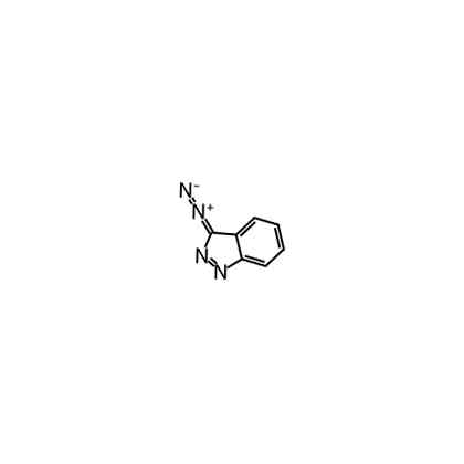 [N-]=[N+]=C1N=Nc2ccccc21